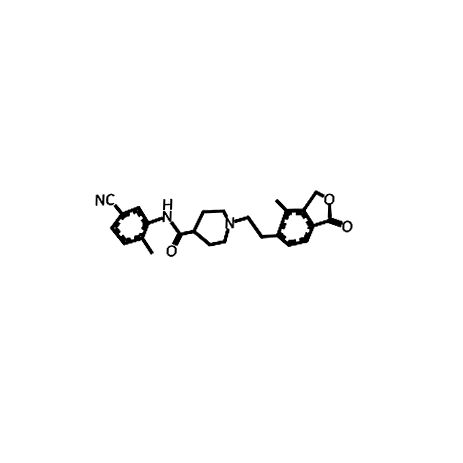 Cc1ccc(C#N)cc1NC(=O)C1CCN(CCc2ccc3c(c2C)COC3=O)CC1